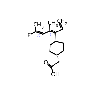 C=C/C(=C(C)/C=C(\C)F)[C@H]1CC[C@H](CC(=O)O)CC1